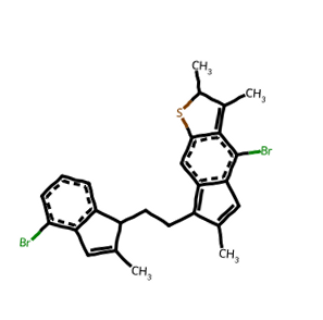 CC1=Cc2c(Br)c3c(cc2=C1CCC1C(C)=Cc2c(Br)cccc21)SC(C)C=3C